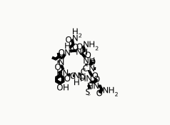 CCC(C)C1C(=O)N[C@@H](CCC(N)=O)C(=O)N[C@@H](CC(N)=O)C(=O)N[C@H](C(=O)N(C)CC(=O)N[C@@H](CCSC)C(=O)NCC(N)=O)CCC(=O)NCC(=O)N[C@@H](Cc2ccc(O)cc2)C(=O)N1C